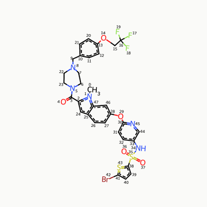 Cn1c(C(=O)N2CCN(Cc3ccc(OCC(F)(F)F)cc3)CC2)cc2ccc(Oc3ccc(NS(=O)(=O)c4ccc(Br)s4)cn3)cc21